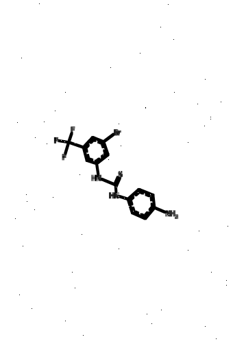 Nc1ccc(NC(=S)Nc2cc(Br)cc(C(F)(F)F)c2)cc1